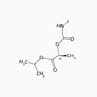 CC(C)OC(=O)[C@H](C)OC(=O)NI